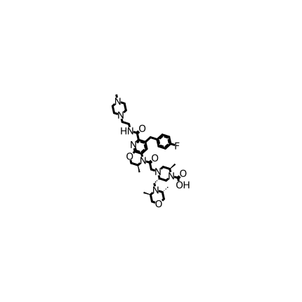 C[C@@H]1CN(CC(=O)N2c3cc(Cc4ccc(F)cc4)c(C(=O)NCCN4CCN(C)CC4)nc3OC[C@@H]2C)[C@@H](CN2[C@H](C)COC[C@H]2C)CN1C(=O)O